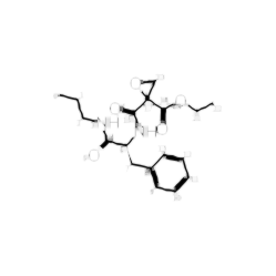 CCCNC(=O)[C@H](Cc1ccccc1)NC(=O)C1(C(=O)OCC)CO1